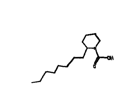 CCCCCCCCC1CCCCN1C(=O)O